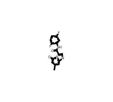 Cc1cc2n(c(=O)c1)C(C(=O)Nc1cc(F)ccc1F)=C[N]2